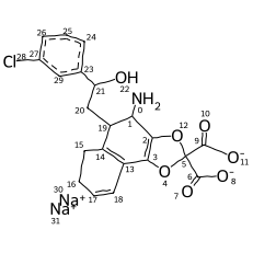 NC1C2=C(OC(C(=O)[O-])(C(=O)[O-])O2)C2=C(CCC=C2)C1CC(O)c1cccc(Cl)c1.[Na+].[Na+]